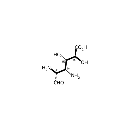 N[C@@H]([C@H](O)[C@H](O)C(=O)O)[C@@H](N)C=O